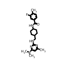 Cc1cc(N(C)C)nc(NCC2CCC(NC(=O)c3ccc(C)c(F)c3)CC2)n1